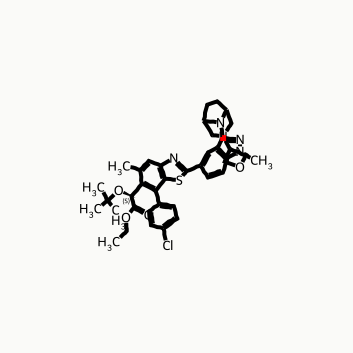 CCOC(=O)[C@@H](OC(C)(C)C)c1c(C)cc2nc(-c3ccc4c(c3)c(N3C5CCC3CN(C3COC3)C5)nn4C)sc2c1-c1ccc(Cl)cc1